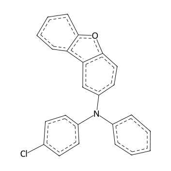 Clc1ccc(N(c2ccccc2)c2ccc3oc4ccccc4c3c2)cc1